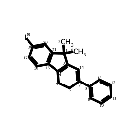 CC1(C)C2=C(CCC(c3ccccc3)=C2)c2ccc(I)cc21